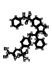 CCN(CC)C(=O)CN(c1ccc(NC(=C2C(=O)Nc3ccc(S(=O)(=O)Nc4ccccc4)cc32)c2ccccc2)cc1)S(C)(=O)=O